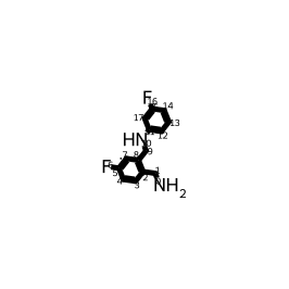 NCc1ccc(F)[c]c1CNc1cccc(F)c1